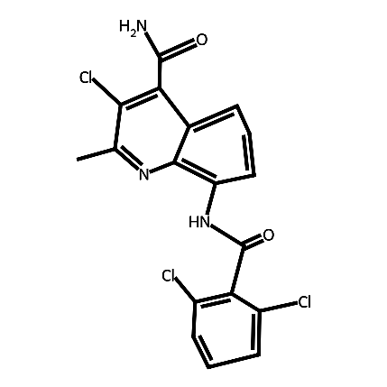 Cc1nc2c(NC(=O)c3c(Cl)cccc3Cl)cccc2c(C(N)=O)c1Cl